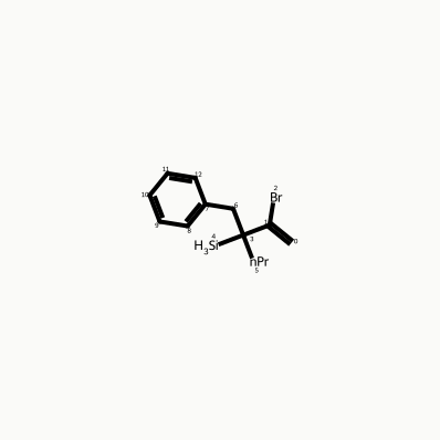 C=C(Br)C([SiH3])(CCC)Cc1ccccc1